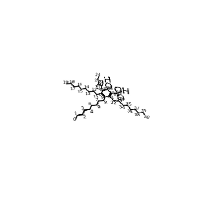 CCCCCCCCCc1c(CCCCCCCCC)c(OOCC)c(O)c(C(=O)O)c1CCCCCCCCC